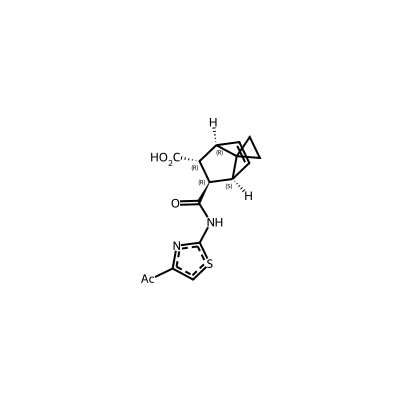 CC(=O)c1csc(NC(=O)[C@H]2[C@H](C(=O)O)[C@H]3C=C[C@@H]2C32CC2)n1